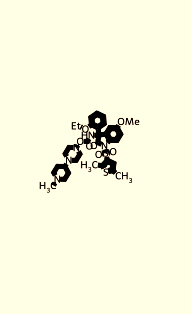 CCOc1ccccc1C1(NC(=O)ON2CCN(C3CCN(C)CC3)CC2)C(=O)N(S(=O)(=O)c2cc(C)sc2C)c2ccc(OC)cc21